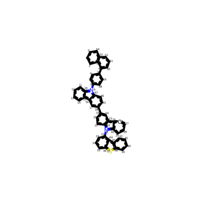 c1ccc2c(-c3ccc(-n4c5ccccc5c5cc(-c6ccc7c(c6)c6ccccc6n7-c6cccc7sc8ccccc8c67)ccc54)cc3)cccc2c1